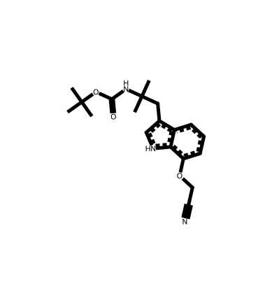 CC(C)(Cc1c[nH]c2c(OCC#N)cccc12)NC(=O)OC(C)(C)C